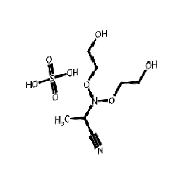 CC(C#N)N(OCCO)OCCO.O=S(=O)(O)O